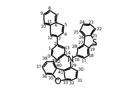 c1cc(-c2ccc3ccccc3c2)cc(N(c2ccc3sc4ccccc4c3c2)c2cccc3oc4ccccc4c23)c1